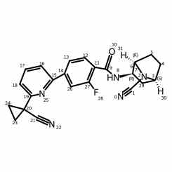 N#CN1[C@H]2CC[C@@H]1[C@H](NC(=O)c1ccc(-c3cccc(C4(C#N)CC4)n3)cc1F)C2